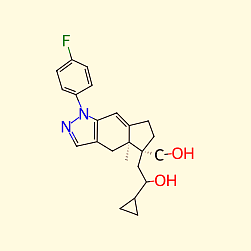 C[C@]12Cc3cnn(-c4ccc(F)cc4)c3C=C1CC[C@@]2(CO)CC(O)C1CC1